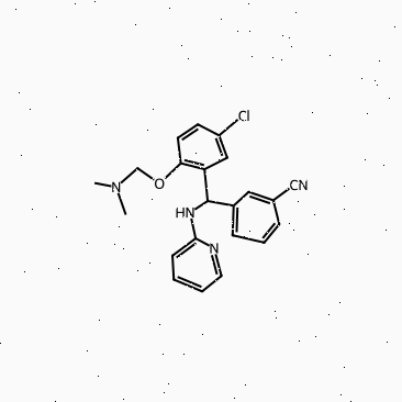 CN(C)COc1ccc(Cl)cc1C(Nc1ccccn1)c1cccc(C#N)c1